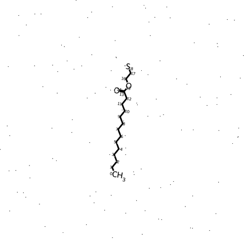 CCCCCCCCCCCCCC(=O)OCC[S]